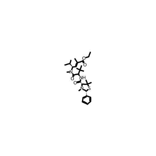 CCOC(=O)/C(C)=C/[C@H](C(C)C)N(C)C(=O)C(NC(=O)[C@H]1N(C)[C@@H](c2ccccc2)SC1(C)C)C(C)(C)C